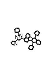 c1ccc(-c2nc(-c3ccccn3)cc(-c3ccc4c5c(cccc35)-c3c-4c(-c4ccccc4)c4ccccc4c3-c3ccccc3)n2)cc1